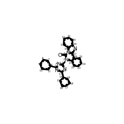 O=c1n(-c2nc(-c3ccccc3)nc(-c3ccccc3)n2)c2ccccc2c2nc3ccccc3n12